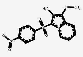 COc1c(C)c(S(=O)(=O)c2ccc([N+](=O)[O-])cc2)n2ccccc12